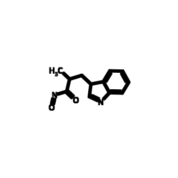 CC(CC1C=Nc2ccccc21)C(=O)N=O